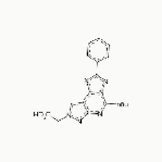 CCCCc1nc2nn(CC(=O)O)cc2c2nc(-c3ccccc3)nn12